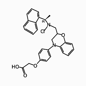 C[C@H](c1cccc2ccccc12)N(Cl)CC1CN(c2ccc(OCC(=O)O)cc2)c2ccccc2O1